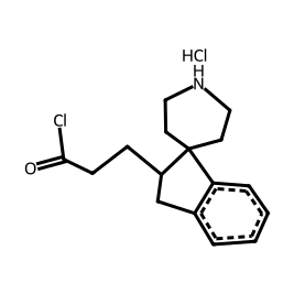 Cl.O=C(Cl)CCC1Cc2ccccc2C12CCNCC2